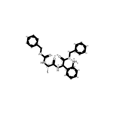 C[C@H](NC(=O)OCc1ccccc1)C(=O)NC(C(=O)OCc1ccccc1)c1ccccc1N